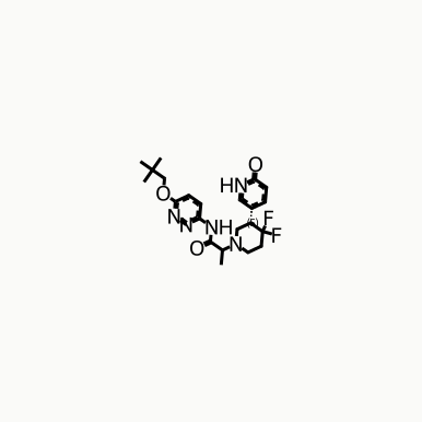 CC(C(=O)Nc1ccc(OCC(C)(C)C)nn1)N1CCC(F)(F)[C@@H](c2ccc(=O)[nH]c2)C1